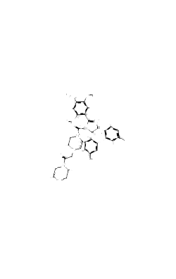 CCOc1cc(C2=N[C@@H](c3ccc(Cl)cc3)[C@@H](c3ccc(Cl)cc3)N2C(=O)N2CCN(CC(=O)N3CCOCC3)CC2)c(OCC)cc1C#N